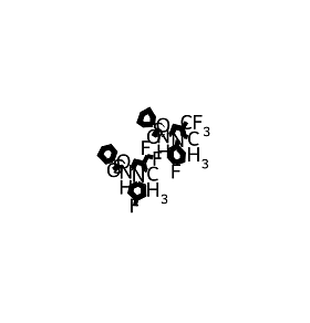 Cc1c(C(F)(F)F)cc(NS(=O)(=O)c2ccccc2)n1-c1ccc(F)cc1.Cc1c(C(F)F)cc(NS(=O)(=O)c2ccccc2)n1-c1ccc(F)cc1